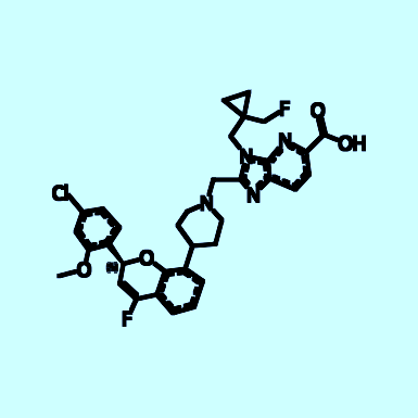 COc1cc(Cl)ccc1[C@@H]1C=C(F)c2cccc(C3CCN(Cc4nc5ccc(C(=O)O)nc5n4CC4(CF)CC4)CC3)c2O1